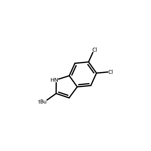 CC(C)(C)c1cc2cc(Cl)c(Cl)cc2[nH]1